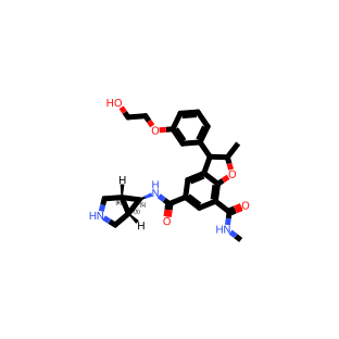 CNC(=O)c1cc(C(=O)N[C@H]2[C@@H]3CNC[C@@H]32)cc2c1OC(C)C2c1cccc(OCCO)c1